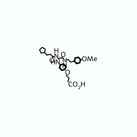 COc1ccc(CCNC(=O)C(NC(=O)CCC2CCCC2)Nc2ccc(OCCCC(=O)O)cc2)cc1